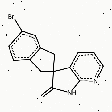 C=C1Nc2ncccc2C12Cc1ccc(Br)cc1C2